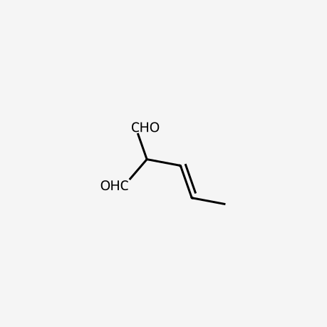 CC=CC(C=O)C=O